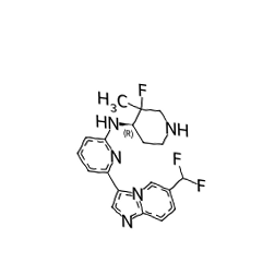 CC1(F)CNCC[C@H]1Nc1cccc(-c2cnc3ccc(C(F)F)cn23)n1